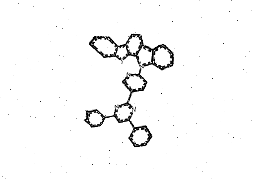 c1ccc(-c2cc(-c3ccccc3)nc(-c3ccc(-n4c5ccccc5c5ccc6c7ccccc7sc6c54)nc3)n2)cc1